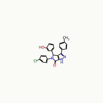 Cc1ccc(-c2n[nH]c3c2C(c2cccc(O)c2)N(c2ccc(Cl)cc2)C3=O)cc1